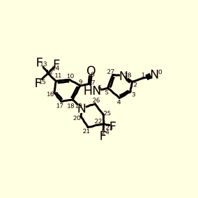 N#Cc1ccc(NC(=O)c2cc(C(F)(F)F)ccc2N2CCC(F)(F)CC2)cn1